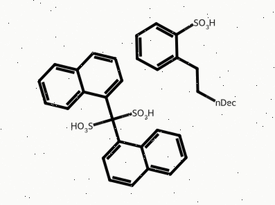 CCCCCCCCCCCCc1ccccc1S(=O)(=O)O.O=S(=O)(O)C(c1cccc2ccccc12)(c1cccc2ccccc12)S(=O)(=O)O